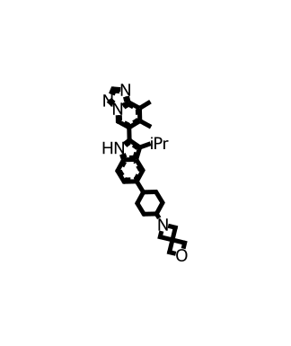 Cc1c(-c2[nH]c3ccc(C4CCC(N5CC6(COC6)C5)CC4)cc3c2C(C)C)cn2ncnc2c1C